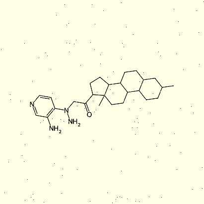 CC1CCC2C(CCC3C2CCC2(C)C(C(=O)CN(N)c4ccncc4N)CCC32)C1